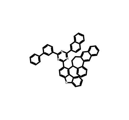 c1ccc(-c2cccc(-c3nc(-c4ccc5ccccc5c4)nc(-c4ccc5oc6ccccc6c5c4C4CCc5cc6ccccc6cc5-c5ccccc54)n3)c2)cc1